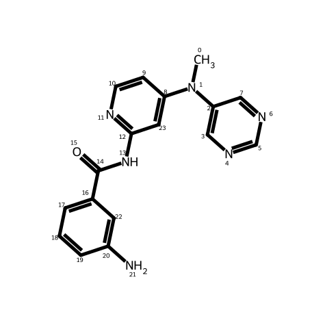 CN(c1cncnc1)c1ccnc(NC(=O)c2cccc(N)c2)c1